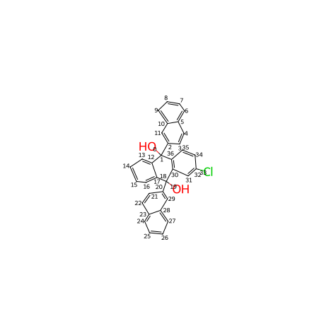 OC1(c2ccc3ccccc3c2)c2ccccc2C(O)(c2ccc3ccccc3c2)c2cc(Cl)ccc21